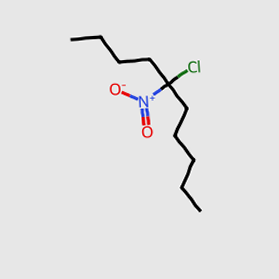 CCCCCC(Cl)(CCCC)[N+](=O)[O-]